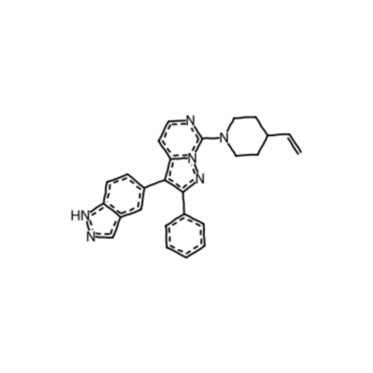 C=CC1CCN(c2nccc3c(-c4ccc5[nH]ncc5c4)c(-c4ccccc4)nn23)CC1